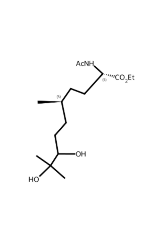 CCOC(=O)[C@H](CC[C@H](C)CCC(O)C(C)(C)O)NC(C)=O